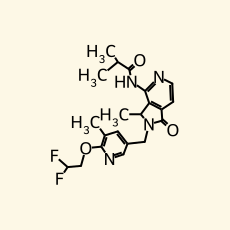 Cc1cc(CN2C(=O)c3ccnc(NC(=O)C(C)C)c3C2C)cnc1OCC(F)F